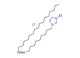 CCCCCCCCCCCCCCCCC.CCCCCCCCCCCCCCCCCCC[N+]1=CN(CC)CC1.[Cl-]